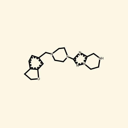 c1cc2c(cc1CN1CCN(c3nc4n(n3)CCNC4)CC1)OCC2